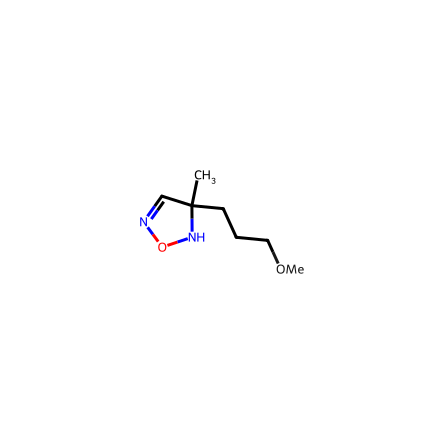 COCCCC1(C)C=NON1